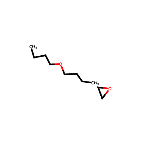 C1CO1.CCCCOCCCC